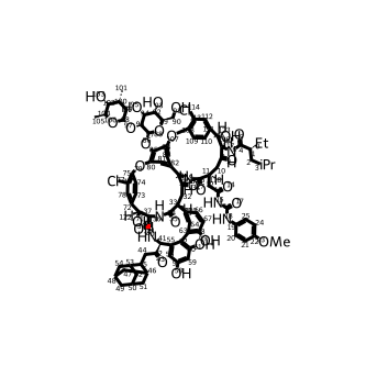 CC[C@H](CC(C)C)C(=O)N[C@H]1C(=O)C[C@@H](CC(=O)NC(=O)Nc2ccc(OC)cc2)C(=O)N[C@H]2C(=O)C[C@H]3C(=O)N[C@H](C(=O)N[C@H](C(=O)CC4C5CC6CC(C5)CC4C6)c4cc(O)cc(O)c4-c4cc3ccc4O)[C@H](O)c3ccc(c(Cl)c3)Oc3cc2cc(c3O[C@@H]2O[C@H](CO)[C@@H](O)[C@H](O)[C@H]2O[C@H]2C[C@@H](C)[C@H](O)[C@H](C)O2)Oc2ccc(cc2Cl)[C@H]1O